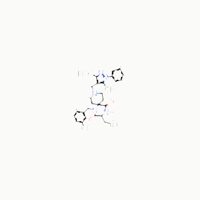 Cc1cccc(CN2C(=O)C(CC(C)C)NC(=O)C23CCN(Cc2c(C)nn(-c4ccccc4)c2C)CC3)c1